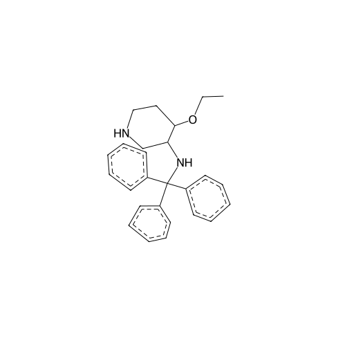 CCOC1CCNCC1NC(c1ccccc1)(c1ccccc1)c1ccccc1